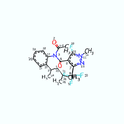 CC(=O)N(C(=O)c1c(C(F)(F)F)nn(C)c1F)c1ccccc1C(C)CC(C)C